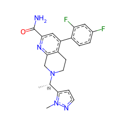 C[C@@H](c1ccnn1C)N1CCc2c(-c3ccc(F)cc3F)cc(C(N)=O)nc2C1